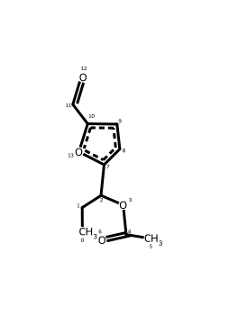 CCC(OC(C)=O)c1ccc(C=O)o1